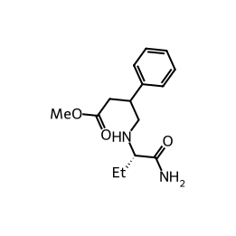 CC[C@H](NCC(CC(=O)OC)c1ccccc1)C(N)=O